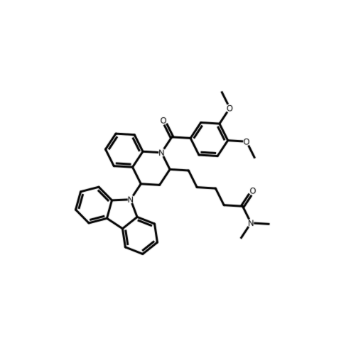 COc1ccc(C(=O)N2c3ccccc3C(n3c4ccccc4c4ccccc43)CC2CCCCC(=O)N(C)C)cc1OC